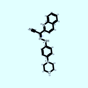 N#C/C(=N/Nc1ccc(N2CCOCC2)cc1)c1ccc2ccccc2n1